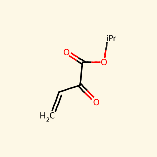 C=CC(=O)C(=O)OC(C)C